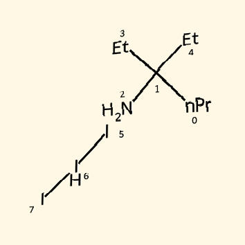 CCCC(N)(CC)CC.I[IH]I